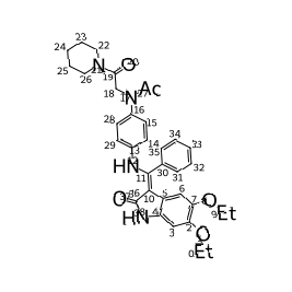 CCOc1cc2c(cc1OCC)/C(=C(/Nc1ccc(N(CC(=O)N3CCCCC3)C(C)=O)cc1)c1ccccc1)C(=O)N2